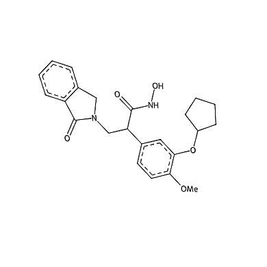 COc1ccc(C(CN2Cc3ccccc3C2=O)C(=O)NO)cc1OC1CCCC1